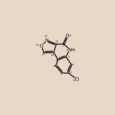 O=c1[nH]c2cc(Cl)ccc2c2conc12